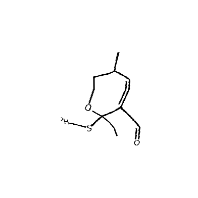 [2H]SC1(C)OCC(C)C=C1C=O